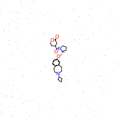 O=C1CC(C(=O)N2CCC[C@@H]2COc2ccc3c(c2)CCN(C2CCC2)CC3)CCO1